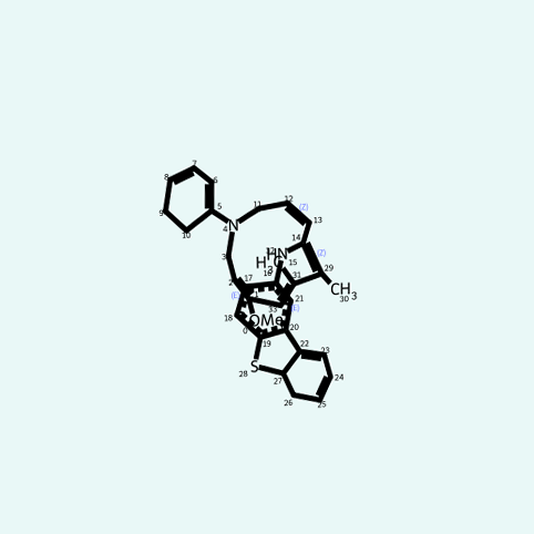 COC1=C\CN(C2=CC=CCC2)C\C=C/C(Nc2ccc3c(c2)C2=CC=CCC2S3)=C(C)/C(C)=C/1